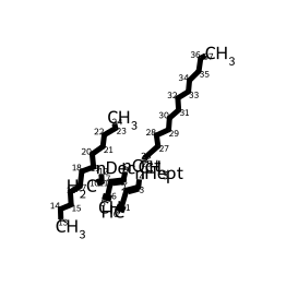 C#CC=CCCCCCCC.C#CC=CCCCCCCCC.C=CCCCCCCCCCC.CCCCCCCCCCCC.CCCCCCCCCCCCC